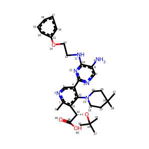 Cc1ncc(-c2ncc(N)c(NCCOc3ccccc3)n2)c(N2CCC(C)(C)CC2)c1[C@H](OC(C)(C)C)C(=O)O